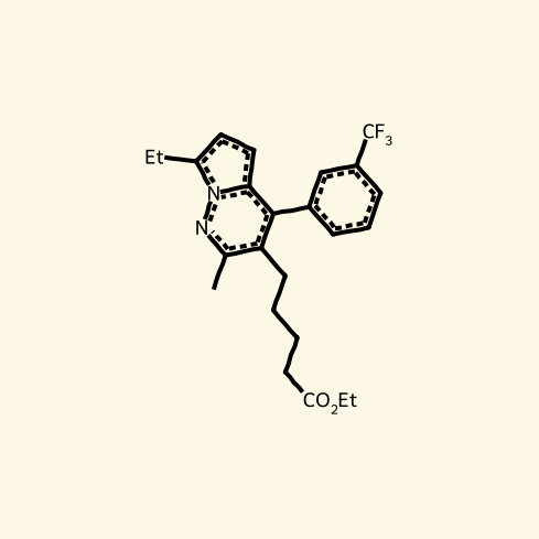 CCOC(=O)CCCCc1c(C)nn2c(CC)ccc2c1-c1cccc(C(F)(F)F)c1